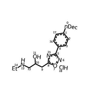 CCCCCCCCCCc1ccc(-c2noc(CC(O)CNCC)n2)cc1.Cl